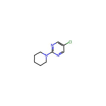 Clc1cnc(N2CCCCC2)nc1